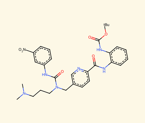 CN(C)CCCN(Cc1ccc(C(=O)Nc2ccccc2NC(=O)OC(C)(C)C)nc1)C(=O)Nc1cccc([N+](=O)[O-])c1